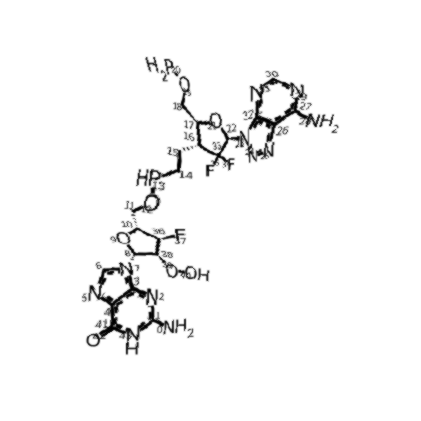 Nc1nc2c(ncn2[C@@H]2O[C@H](COPCC[C@@H]3[C@@H](COP)O[C@@H](n4nnc5c(N)ncnc54)C3(F)F)[C@@H](F)[C@H]2OO)c(=O)[nH]1